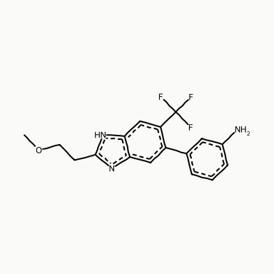 COCCc1nc2cc(-c3cccc(N)c3)c(C(F)(F)F)cc2[nH]1